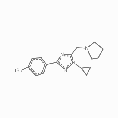 CC(C)(C)c1ccc(-c2nc(CN3CCCC3)n(C3CC3)n2)cc1